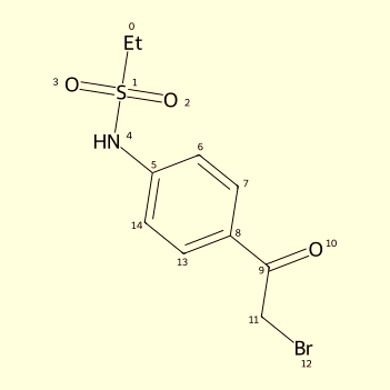 CCS(=O)(=O)Nc1ccc(C(=O)CBr)cc1